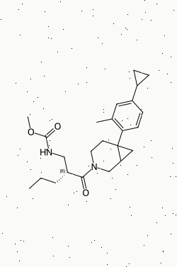 CCC[C@H](CNC(=O)OC)C(=O)N1CCC2(c3ccc(C4CC4)cc3C)CC2C1